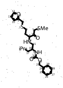 CSCC(=O)C(CCSCc1ccco1)NCC(CC(C)C)NC(=O)OCc1ccccc1